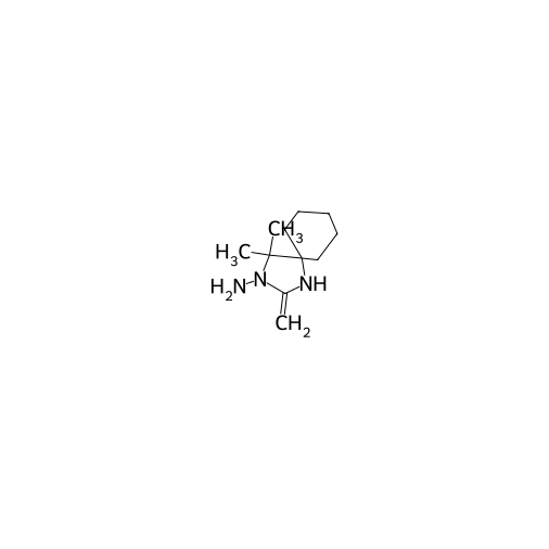 C=C1NC2(CCCCC2)C(C)(C)N1N